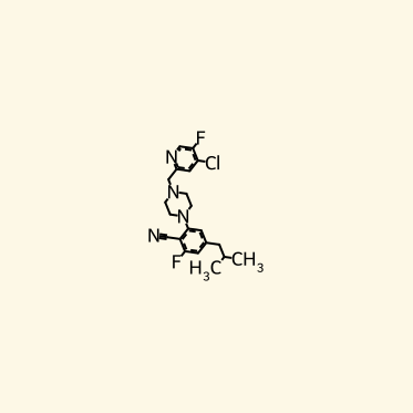 CC(C)Cc1cc(F)c(C#N)c(N2CCN(Cc3cc(Cl)c(F)cn3)CC2)c1